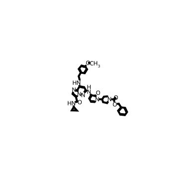 COc1ccc(CCNc2cc(Nc3cccn(C4CCN(C(=O)OCc5ccccc5)CC4)c3=O)nn3c(C(=O)NC4CC4)cnc23)cc1